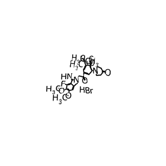 Br.COc1cc2c(c(F)c1OC)C(=N)N(CC(=O)c1cc(N3CCC(=O)CC3)c(OC)c(C(C)(C)C)c1)C2